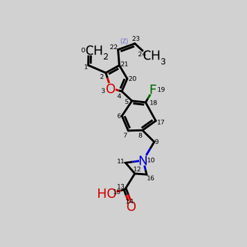 C=Cc1oc(-c2ccc(CN3CC(C(=O)O)C3)cc2F)cc1/C=C\C